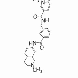 CN1CCc2ccc(NC(=O)c3cccc(CNC(=O)c4ccc(=O)n(C)c4)c3)cc2C1